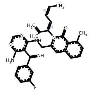 C=C(C)/C(=C\C=C/C)n1c(CNc2ncnc(N)c2C(=N)c2cccc(F)c2)cc2cccc(C)c2c1=O